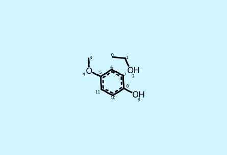 CCO.COc1ccc(O)cc1